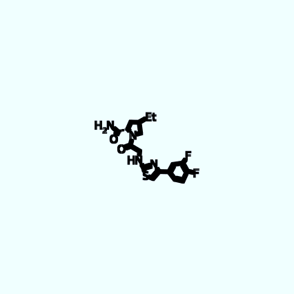 CCC1C[C@@H](C(N)=O)N(C(=O)CNc2nc(-c3ccc(F)c(F)c3)cs2)C1